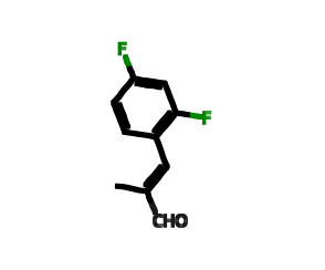 CC(C=O)=Cc1ccc(F)cc1F